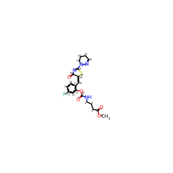 COC(=O)CCCNC(=O)Oc1cc(F)ccc1/C=C1/SC(N2CCCC=N2)=NC1=O